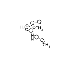 COc1cc(-n2cnc3cc(-c4cnn(C)c4)ccc32)cc(OC)c1C(=O)N1CCC(c2ccccc2)C1